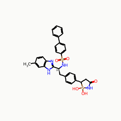 Cc1ccc2nc([C@H](Cc3ccc(C4CC(=O)NS4(O)O)cc3)NS(=O)(=O)c3ccc(-c4ccccc4)cc3)[nH]c2c1